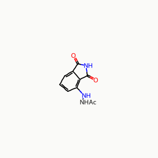 CC(=O)NNc1cccc2c1C(=O)NC2=O